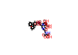 O=C(O)CN(CCCNC(C(=O)O)C(=O)O)CC(COP(=O)(O)OC1CCC(c2ccccc2)(c2ccccc2)CC1)N(CC(=O)O)CC(=O)O